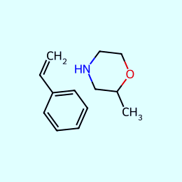 C=Cc1ccccc1.CC1CNCCO1